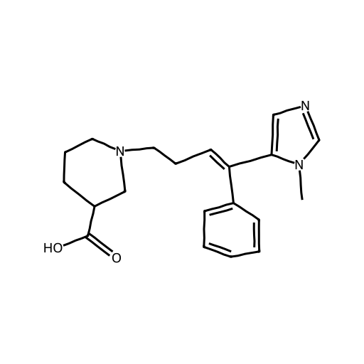 Cn1cncc1/C(=C/CCN1CCCC(C(=O)O)C1)c1ccccc1